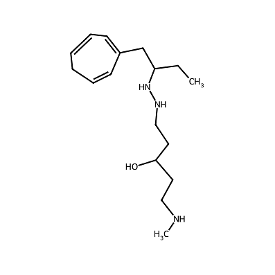 CCC(CC1=CC=CCC=C1)NNCCC(O)CCNC